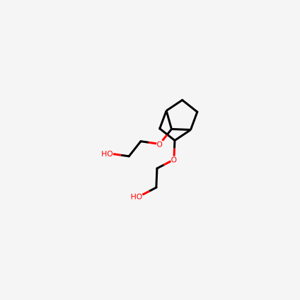 OCCOC1CC2CCC1C2OCCO